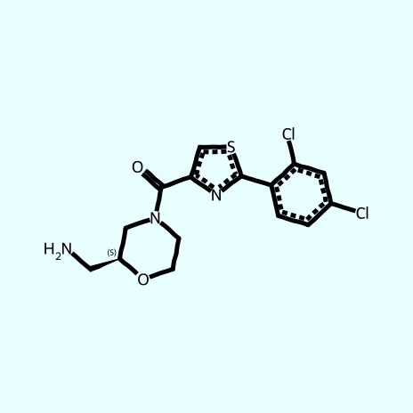 NC[C@H]1CN(C(=O)c2csc(-c3ccc(Cl)cc3Cl)n2)CCO1